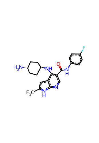 N[C@H]1CC[C@H](Nc2c(C(=O)Nc3ccc(F)cc3)cnc3[nH]c(C(F)(F)F)cc23)CC1